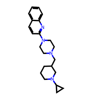 c1ccc2nc(N3CCN(CC4CCCN(C5CC5)C4)CC3)ccc2c1